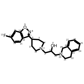 OC(CN1CCC(c2noc3cc(F)ccc23)CC1)CN1CCc2ccccc2C1